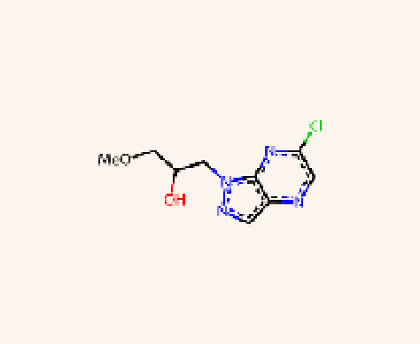 COCC(O)Cn1ncc2ncc(Cl)nc21